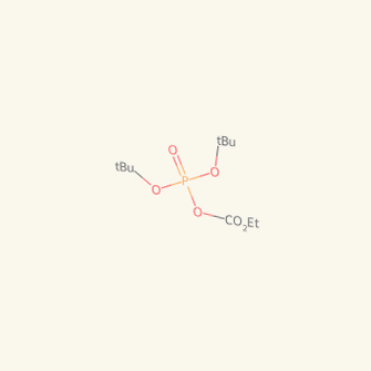 CCOC(=O)OP(=O)(OC(C)(C)C)OC(C)(C)C